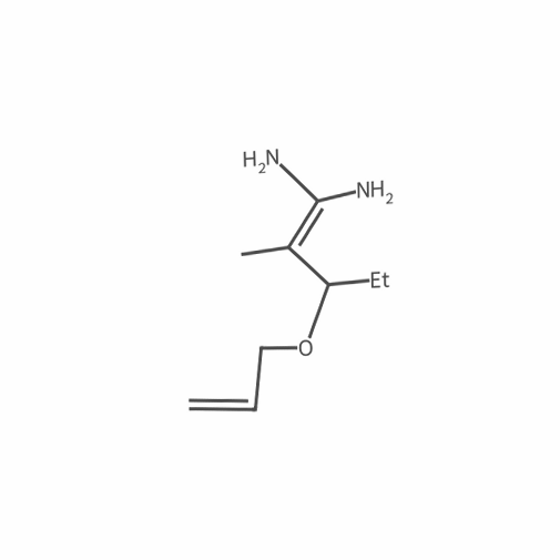 C=CCOC(CC)C(C)=C(N)N